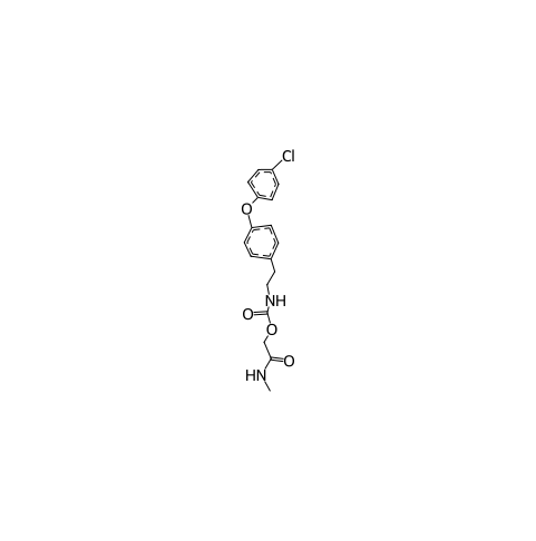 CNC(=O)COC(=O)NCCc1ccc(Oc2ccc(Cl)cc2)cc1